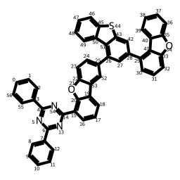 c1ccc(-c2nc(-c3ccccc3)nc(-c3cccc4c3oc3ccc(-c5cc(-c6cccc7oc8ccccc8c67)cc6sc7ccccc7c56)cc34)n2)cc1